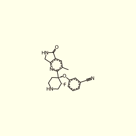 Cc1cc2c(nc1[C@@]1(Oc3cccc(C#N)c3)CCNC[C@H]1F)CNC2=O